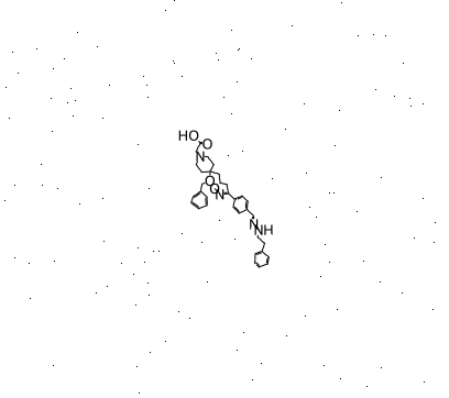 O=C(O)CN1CCC(CC2CC(c3ccc(C=NNCCc4ccccc4)cc3)=NO2)(OCc2ccccc2)CC1